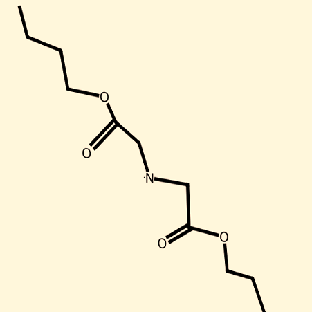 CCCCOC(=O)C[N]CC(=O)OCCCC